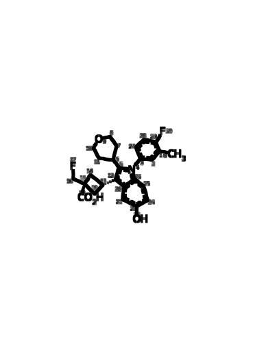 Cc1cc(-n2c(C3CCOCC3)c([C@H]3C[C@](CF)(C(=O)O)C3)c3cc(O)ccc32)ccc1F